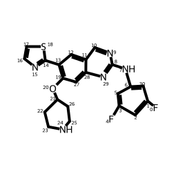 Fc1cc(F)cc(Nc2ncc3cc(-c4nccs4)c(OC4CCNCC4)cc3n2)c1